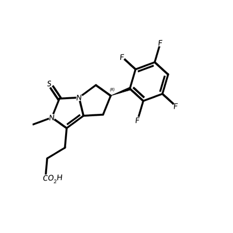 Cn1c(CCC(=O)O)c2n(c1=S)C[C@@H](c1c(F)c(F)cc(F)c1F)C2